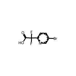 O=C(O)C(F)(F)c1ccc(Br)cn1